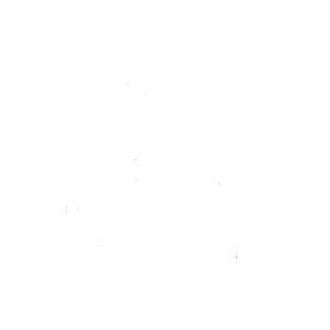 CCC(C)(C)C(=O)OCC(COC(=O)CCC(O)O)OC(=O)CCC(O)O